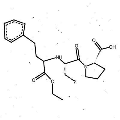 CCOC(=O)C(CCc1ccccc1)N[C@@H](CF)C(=O)N1CCC[C@H]1C(=O)O